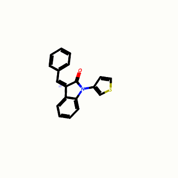 O=C1/C(=C\c2ccccc2)c2ccccc2N1c1ccsc1